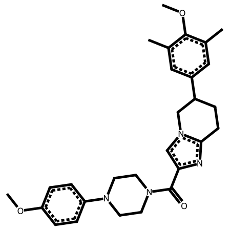 COc1ccc(N2CCN(C(=O)c3cn4c(n3)CCC(c3cc(C)c(OC)c(C)c3)C4)CC2)cc1